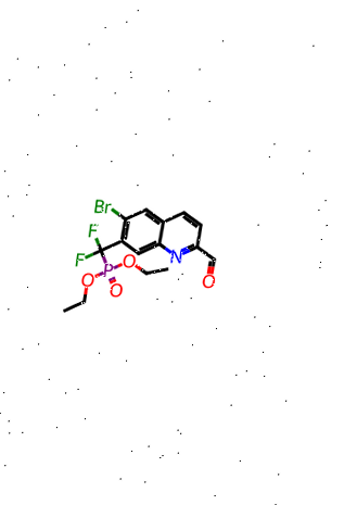 CCOP(=O)(OCC)C(F)(F)c1cc2nc(C=O)ccc2cc1Br